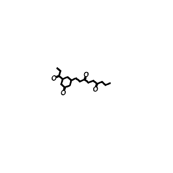 CCCC(=O)CCC(=O)CCC1CC(=O)CC(C(=O)CC)C1